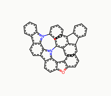 c1ccc(-n2c3ccccc3c3ccc4c5ccc6oc7ccccc7c6c5n(-c5ccc6c7c(cccc57)-c5ccccc5-6)c4c32)cc1